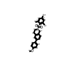 COc1ccc(-c2ccc3c(c2)CCN(S(=O)(=O)c2c(C)cc(I)cc2C)C3)cc1